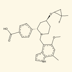 COc1cc(C)c2[nH]ccc2c1CN1CC[C@H](OC2CC2(C)F)C[C@H]1c1ccc(C(=O)O)cc1